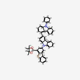 CC1(C)OB(c2cc(-n3c4ccccc4c4cc(-c5cccc6c5c5ccccc5n6-c5ccccc5)ccc43)cc3c2sc2ccccc23)OC1(C)C